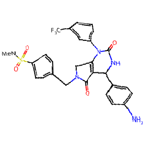 CNS(=O)(=O)c1ccc(CN2CC3=C(C2=O)C(c2ccc(N)cc2)NC(=O)N3c2cccc(C(F)(F)F)c2)cc1